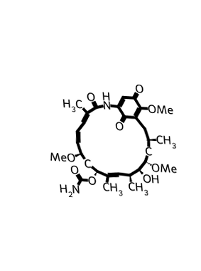 COC1=C2C[C@@H](C)C[C@H](OC)[C@@H](O)[C@@H](C)/C=C(\C)[C@H](OC(N)=O)C[C@@H](OC)/C=C\C=C(/C)C(=O)NC(=CC1=O)C2=O